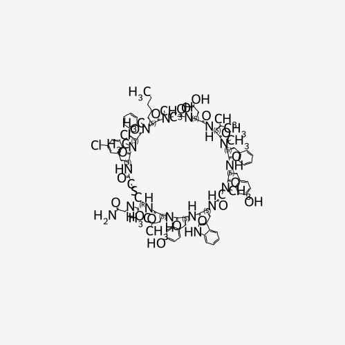 CCCCC[C@H]1C(=O)N(C)CC(=O)N[C@@H](CC(=O)O)C(=O)N[C@@H](C(C)C)C(=O)N(C)[C@@H](Cc2ccccc2)C(=O)N[C@@H](Cc2ccc(O)cc2)C(=O)N(C)CC(=O)N[C@@H](Cc2c[nH]c3ccccc23)C(=O)N[C@@H](Cc2ccc(O)cc2)C(=O)N[C@@H](CC(C)C)C(=O)N[C@H](C(=O)NCC(N)=O)CSCC(=O)N[C@@H](Cc2cc(Cl)cc(Cl)c2)C(=O)N(C)[C@@H](Cc2ccccc2)C(=O)N1C